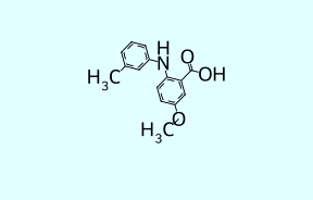 COc1ccc(Nc2cccc(C)c2)c(C(=O)O)c1